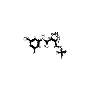 Cc1cc(Cl)cc(NC(=O)c2snnc2CSC(F)(F)F)c1